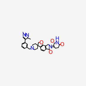 Cc1nn(C)cc1-c1cccc(CN2CCC3(CC2)COc2c3ccc3c2CN([C@H]2CCC(=O)NC2=O)C3=O)c1